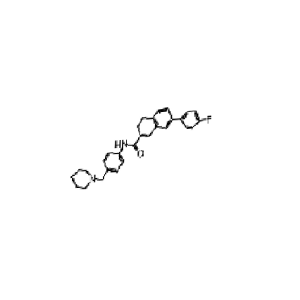 O=C(Nc1ccc(CN2CCCCC2)cc1)C1=Cc2cc(-c3ccc(F)cc3)ccc2CC1